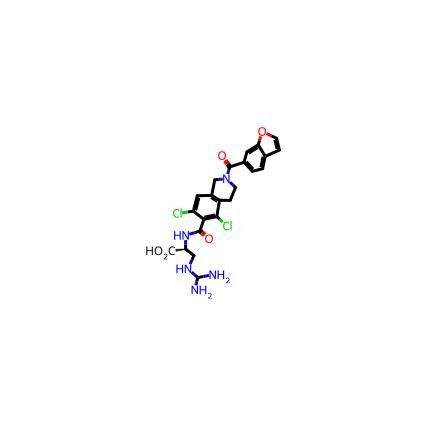 NC(N)NC[C@H](NC(=O)c1c(Cl)cc2c(c1Cl)CCN(C(=O)c1ccc3ccoc3c1)C2)C(=O)O